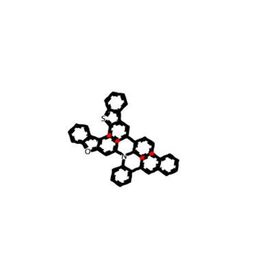 c1ccc(N(c2ccc3c(c2)oc2ccccc23)c2ccccc2-c2ccc3sc4ccccc4c3c2)c(-c2ccc3ccccc3c2)c1